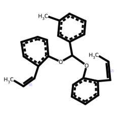 C/C=C\c1ccccc1OC(Oc1ccccc1/C=C\C)c1cccc(C)c1